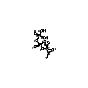 CC1OP1(=S)OP(=O)(O)OP(=O)(O)O